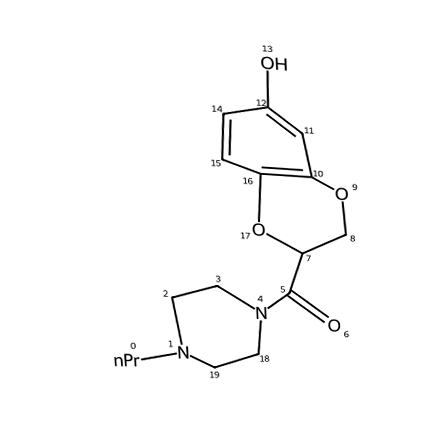 CCCN1CCN(C(=O)C2COc3cc(O)ccc3O2)CC1